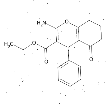 CCOC(=O)C1=C(N)OC2=C(C(=O)CCC2)C1c1ccccc1